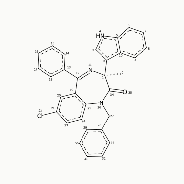 C[C@@]1(c2c[nH]c3ccccc23)N=C(c2ccccc2)c2cc(Cl)ccc2N(Cc2ccccc2)C1=O